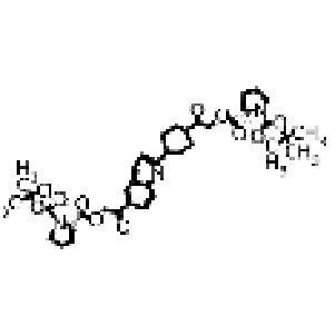 CC(C)(C)OC(=O)N1CCC[C@H]1C(=O)OCC(=O)c1ccc2nc(C3CCC(C(=O)COC(=O)[C@@H]4CCCN4C(=O)OC(C)(C)C)CC3)ccc2c1